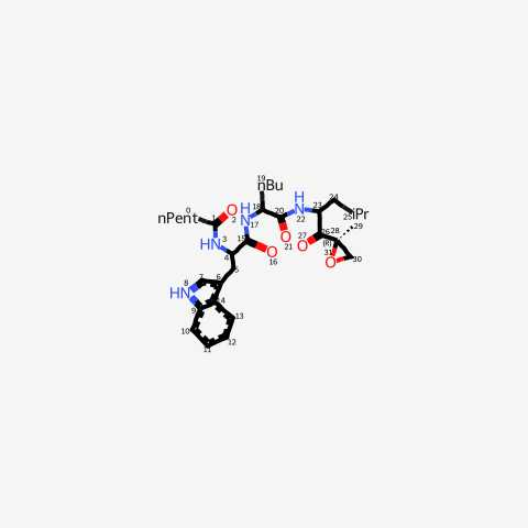 CCCCCC(=O)NC(Cc1c[nH]c2ccccc12)C(=O)NC(CCCC)C(=O)NC(CC(C)C)C(=O)[C@@]1(C)CO1